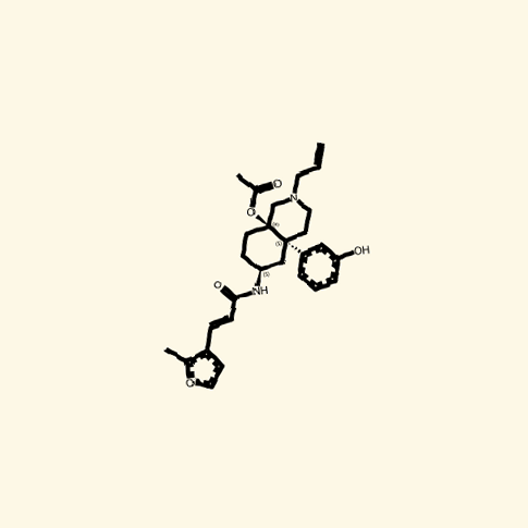 C=CCN1CC[C@@]2(c3cccc(O)c3)C[C@@H](NC(=O)C=Cc3ccoc3C)CC[C@]2(OC(C)=O)C1